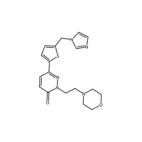 O=c1ccc(-c2ccc(Cn3ccnc3)s2)nn1CCN1CCOCC1